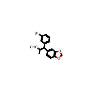 CC(C)c1cccc(C(c2ccc3c(c2)OCO3)C(C)C=O)c1